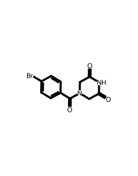 O=C1CN(C(=O)c2ccc(Br)cc2)CC(=O)N1